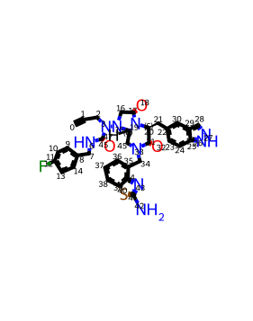 C#CCN(C(=O)NCc1ccc(F)cc1)N1CC(=O)N2[C@@H](Cc3ccc4[nH]ncc4c3)C(=O)N(Cc3cccc4sc(N)nc34)C[C@@H]21